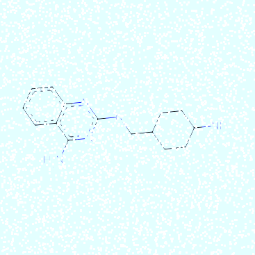 Nc1nc(NCC2CCC(N)CC2)nc2ccccc12